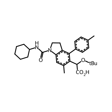 Cc1ccc(-c2c3c(cc(C)c2C(OC(C)(C)C)C(=O)O)N(C(=O)NC2CCCCC2)CC3)cc1